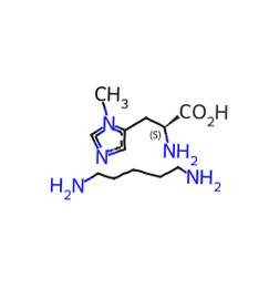 Cn1cncc1C[C@H](N)C(=O)O.NCCCCCN